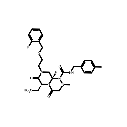 CN1CC(=O)N2[C@@H](CC(=O)O)C(=O)N(CCOCc3ccccc3F)C[C@@H]2N1C(=O)NCc1ccc(F)cc1